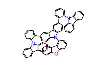 c1ccc(-n2c3ccccc3c3ccccc32)c(-c2ccc3c(c2)c2cc(-c4ccccc4-n4c5ccccc5c5ccccc54)ccc2n3-c2cccc3oc4ccccc4c23)c1